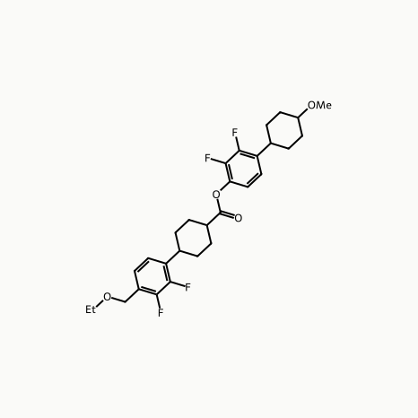 CCOCc1ccc(C2CCC(C(=O)Oc3ccc(C4CCC(OC)CC4)c(F)c3F)CC2)c(F)c1F